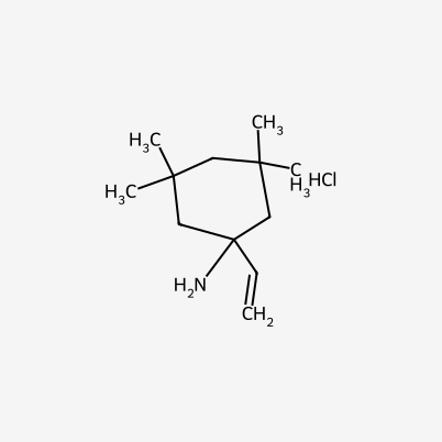 C=CC1(N)CC(C)(C)CC(C)(C)C1.Cl